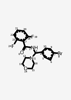 O=C(NC(c1ccc(Br)cc1)N1CCOCC1)c1c(F)cccc1F